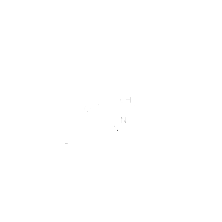 Cc1c(C(=O)c2ccccc2)c(-c2ccc(F)cc2)nn1-c1ccccc1